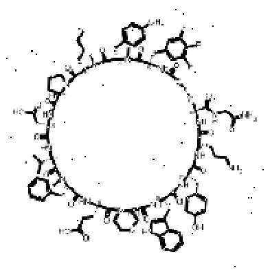 CCCC[C@H]1C(=O)N2CCC[C@@H]2C(=O)N[C@@H](CC(=O)O)C(=O)N[C@@H](C(C)C)C(=O)N(C)[C@@H](Cc2ccccc2)C(=O)N[C@@H](CCC(=O)O)C(=O)N2CCOC[C@@H]2C(=O)N[C@@H](Cc2c[nH]c3ccccc23)C(=O)N[C@@H](Cc2ccc(O)cc2)C(=O)N[C@@H](CCCN)C(=O)N[C@H](C(=O)NCC(N)=O)CSCC(=O)N[C@@H](Cc2cc(F)c(F)c(F)c2)C(=O)N(C)[C@@H](Cc2ccc(O)cc2)C(=O)N1C